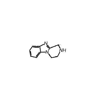 [CH]1NCCn2c1nc1ccccc12